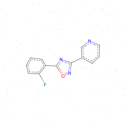 Fc1ccccc1-c1nc(-c2cccnc2)no1